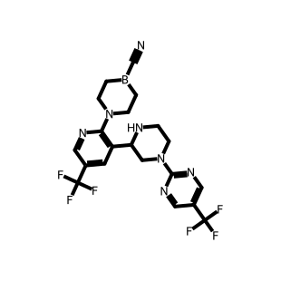 N#CB1CCN(c2ncc(C(F)(F)F)cc2C2CN(c3ncc(C(F)(F)F)cn3)CCN2)CC1